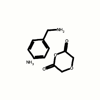 N.NCc1ccccc1.O=C1COCC(=O)O1